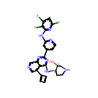 O[C@H]1CNCC[C@H]1Nc1nc(-c2ccnc(Nc3nc(F)cc(F)c3F)c2)nc2cncc(C3=CC=C3)c12